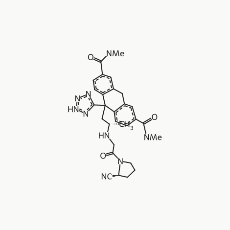 CNC(=O)c1ccc2c(c1)Cc1cc(C(=O)NC)ccc1C2(C[C@H](C)NCC(=O)N1CCC[C@H]1C#N)c1nn[nH]n1